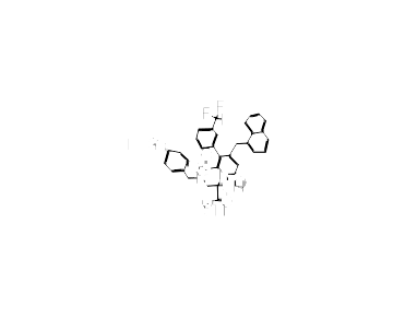 COC(=O)C1(C)CN(Cc2ccc(OC)cc2)S(=O)(=O)c2c(-c3cccc(C(F)(F)F)c3)c(Cc3cccc4ccccc34)cc(=O)n21